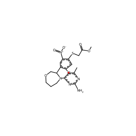 COC(=O)CSc1cc(Cl)c(C2COCCCN2c2cc(C)nc(N)n2)cc1[N+](=O)[O-]